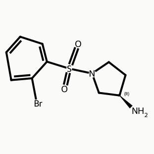 N[C@@H]1CCN(S(=O)(=O)c2ccccc2Br)C1